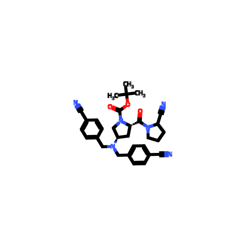 CC(C)(C)OC(=O)N1C[C@@H](N(Cc2ccc(C#N)cc2)Cc2ccc(C#N)cc2)C[C@H]1C(=O)N1CCCC1C#N